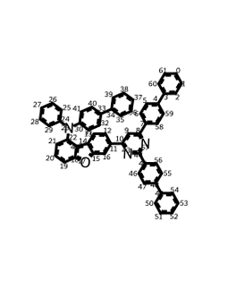 c1ccc(-c2ccc(-c3cc(-c4ccc5c(c4)oc4cccc(N(c6ccccc6)c6ccc(-c7ccccc7)cc6)c45)nc(-c4ccc(-c5ccccc5)cc4)n3)cc2)cc1